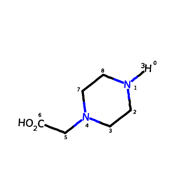 [3H]N1CCN(CC(=O)O)CC1